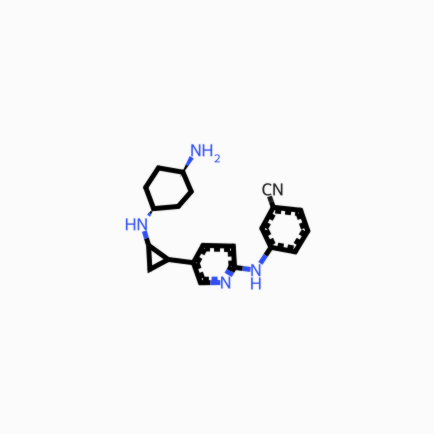 N#Cc1cccc(Nc2ccc(C3CC3N[C@H]3CC[C@H](N)CC3)cn2)c1